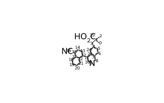 CC(C)(Cc1ccc2cncc(-c3ccc(C#N)c4ccccc34)c2c1)C(=O)O